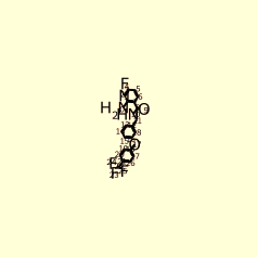 Nc1nc(F)ccc1C(=O)NCc1cccc(Oc2ccc(C(F)(F)F)cc2)c1